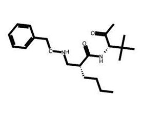 CCCC[C@H](CNOCc1ccccc1)C(=O)N[C@H](C(C)=O)C(C)(C)C